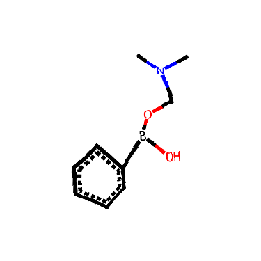 CN(C)COB(O)c1ccccc1